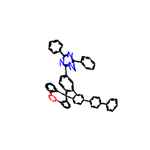 c1ccc(-c2ccc(-c3ccc4c(c3)-c3cc(-c5nc(-c6ccccc6)nc(-c6ccccc6)n5)ccc3C43c4ccccc4Oc4ccccc43)cc2)cc1